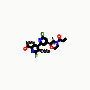 C=CC(=O)N1CCO[C@@H](c2cc(Cl)nc(-c3cc(C(=O)NC)nc(F)c3OC)c2)[C@@H]1C